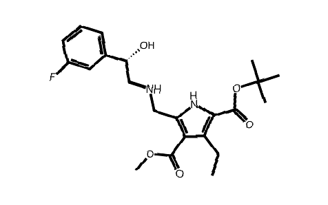 CCc1c(C(=O)OC(C)(C)C)[nH]c(CNC[C@@H](O)c2cccc(F)c2)c1C(=O)OC